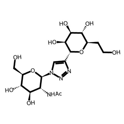 CC(=O)N[C@@H]1[C@@H](O)[C@H](O)[C@@H](CO)O[C@H]1n1cc([C@H]2O[C@H](CCO)[C@@H](O)[C@H](O)[C@@H]2O)nn1